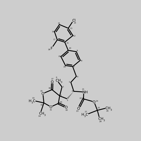 CCC1(C[C@H](CCc2ccc(-c3cc(Cl)ccc3F)cc2)NC(=O)OC(C)(C)C)C(=O)OC(C)(C)OC1=O